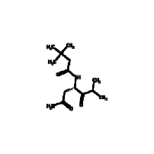 CC(C)C(=O)[C@H](CC(N)=O)NC(=O)CC(C)(C)C